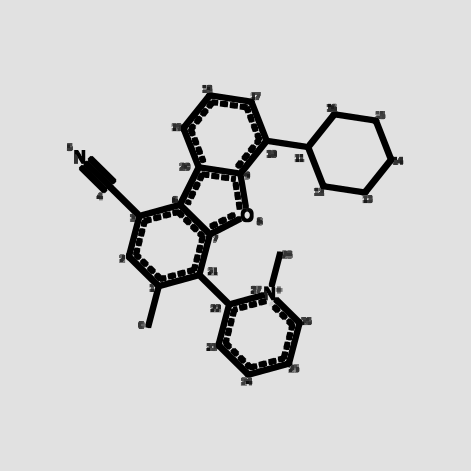 Cc1cc(C#N)c2c(oc3c(C4CCCCC4)cccc32)c1-c1cccc[n+]1C